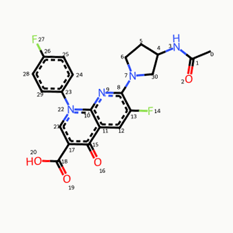 CC(=O)NC1CCN(c2nc3c(cc2F)c(=O)c(C(=O)O)cn3-c2ccc(F)cc2)C1